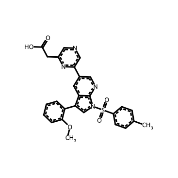 COc1ccccc1-c1cn(S(=O)(=O)c2ccc(C)cc2)c2ncc(-c3cncc(CC(=O)O)n3)cc12